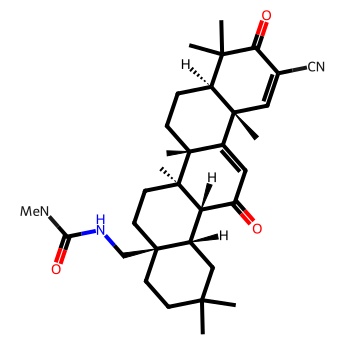 CNC(=O)NC[C@]12CCC(C)(C)C[C@H]1[C@H]1C(=O)C=C3[C@@]4(C)C=C(C#N)C(=O)C(C)(C)[C@@H]4CC[C@@]3(C)[C@]1(C)CC2